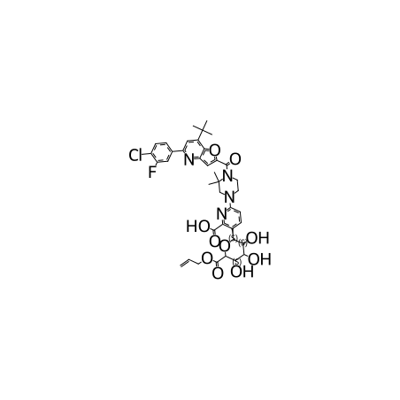 C=CCOC(=O)C1O[C@@H](c2ccc(N3CCN(C(=O)c4cc5nc(-c6ccc(Cl)c(F)c6)cc(C(C)(C)C)c5o4)C(C)(C)C3)nc2C(=O)O)[C@@H](O)C(O)[C@@H]1O